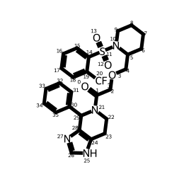 O=C(COCC1CCCCN1S(=O)(=O)c1ccccc1C(F)(F)F)N1CCc2[nH]cnc2C1c1ccccc1